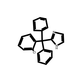 Clc1ccccc1C(c1ccccc1)(c1ccccc1)c1ncc[nH]1